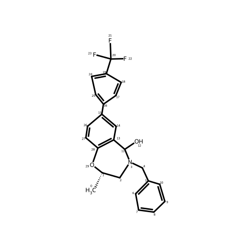 C[C@H]1CN(Cc2ccccc2)C(O)c2cc(-c3ccc(C(F)(F)F)cc3)ccc2O1